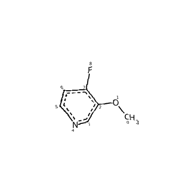 COc1cnccc1F